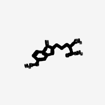 COc1ccc2[nH]c(CCCC(C)C(N)=O)cc2c1